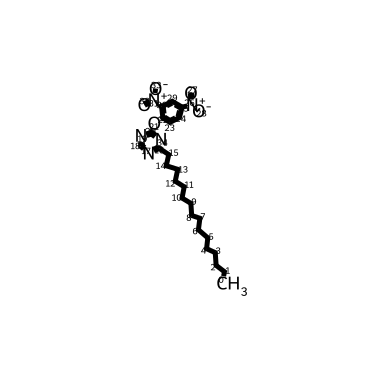 CCCCCCCCCCCCCCCCc1ncnc(Oc2ccc([N+](=O)[O-])cc2[N+](=O)[O-])n1